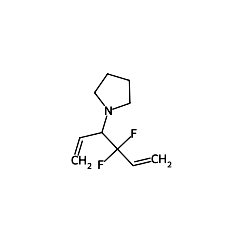 C=CC(N1CCCC1)C(F)(F)C=C